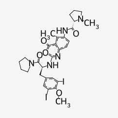 COc1c(I)cc(C[C@H](Nc2nc3ccc(NC(=O)[C@@H]4CCCN4C)c(C)c3c(=O)o2)C(=O)N2CCCC2)cc1I